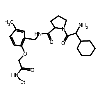 CCNC(=O)COc1ccc(C)cc1CNC(=O)C1CCCN1C(=O)C(N)C1CCCCC1